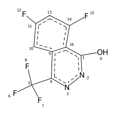 Oc1nnc(C(F)(F)F)c2cc(F)cc(F)c12